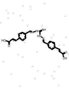 N=C(N/N=C/c1ccc(/C=C/C(=O)O)cc1)N/N=C/c1ccc(/C=C/C(=O)O)cc1